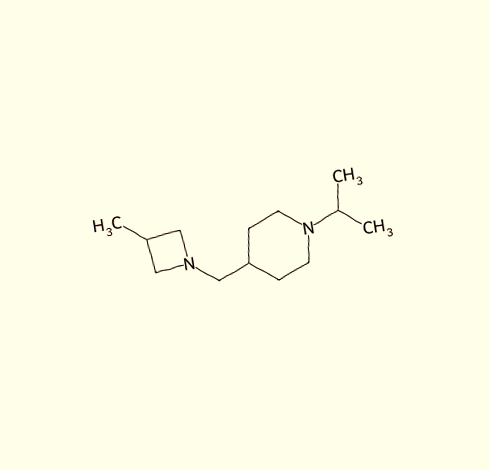 CC1CN(CC2CCN(C(C)C)CC2)C1